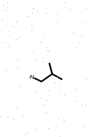 CC(C)C[N]